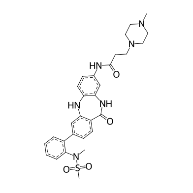 CN1CCN(CCC(=O)Nc2ccc3c(c2)NC(=O)c2ccc(-c4ccccc4N(C)S(C)(=O)=O)cc2N3)CC1